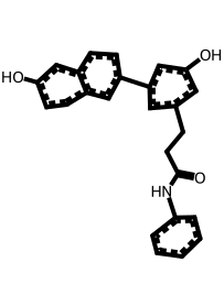 O=C(CCc1cc(O)cc(-c2ccc3cc(O)ccc3c2)c1)Nc1ccccc1